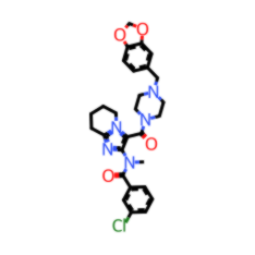 CN(C(=O)c1cccc(Cl)c1)c1nc2n(c1C(=O)N1CCN(Cc3ccc4c(c3)OCO4)CC1)CCCC2